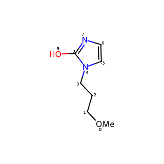 COCCCn1[c]cnc1O